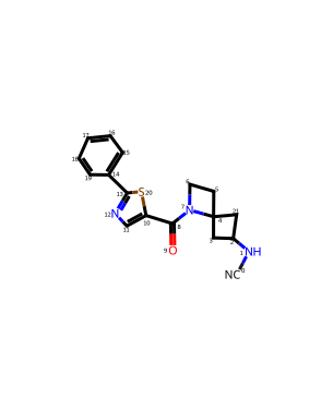 N#CNC1CC2(CCN2C(=O)c2cnc(-c3ccccc3)s2)C1